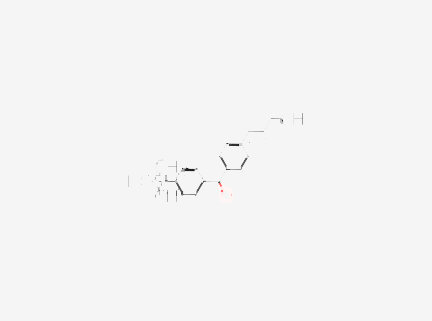 CCCCc1ccc(C(=O)c2ccc([Si](C)(C)C)cc2)cc1